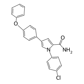 NC(=O)c1cc(-c2ccc(Oc3ccccc3)cc2)cn1-c1ccc(Cl)cc1